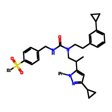 CCS(=O)(=O)c1ccc(CNC(=O)N(CCc2cccc(C3CC3)c2)CC(C)c2cc(C3CC3)nn2C(C)C)cc1